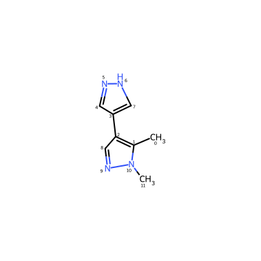 Cc1c(-c2cn[nH]c2)cnn1C